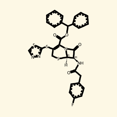 O=C(Cc1ccc(F)cc1)N[C@@H]1C(=O)N2C(C(=O)OC(c3ccccc3)c3ccccc3)=C(Sc3nncs3)CS[C@H]12